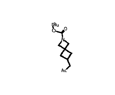 CC(=O)CC1CC2(C1)CN(C(=O)OC(C)(C)C)C2